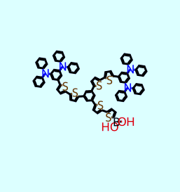 OB(O)c1ccc(-c2ccc(-c3cc(-c4ccc(-c5ccc(-c6cc(N(c7ccccc7)c7ccccc7)cc(N(c7ccccc7)c7ccccc7)c6)s5)s4)cc(-c4ccc(-c5ccc(-c6cc(N(c7ccccc7)c7ccccc7)cc(N(c7ccccc7)c7ccccc7)c6)s5)s4)c3)s2)s1